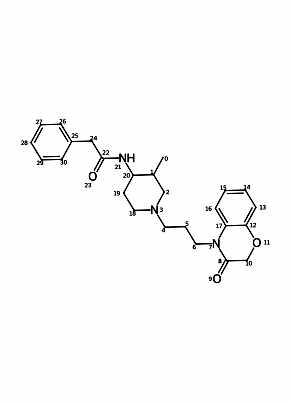 CC1CN(CCCN2C(=O)COc3ccccc32)CCC1NC(=O)Cc1ccccc1